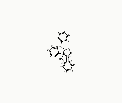 c1ccc(CN2CCNC2(Cc2ccccc2)c2ccccc2)cc1